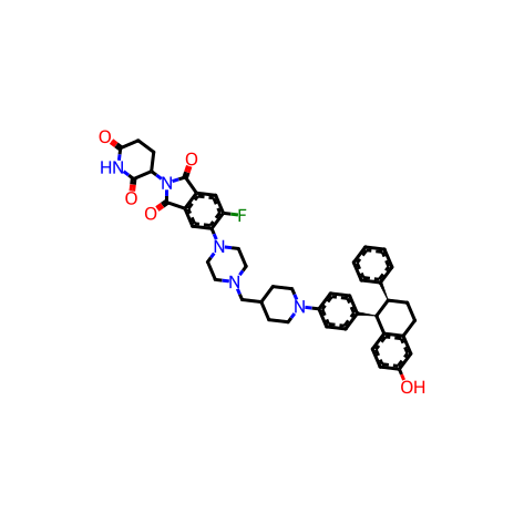 O=C1CCC(N2C(=O)c3cc(F)c(N4CCN(CC5CCN(c6ccc([C@@H]7c8ccc(O)cc8CC[C@@H]7c7ccccc7)cc6)CC5)CC4)cc3C2=O)C(=O)N1